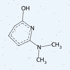 CN(C)c1cccc(O)n1